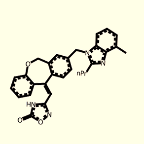 CCCc1nc2c(C)cccc2n1Cc1ccc2c(c1)COc1ccccc1C2=Cc1noc(=O)[nH]1